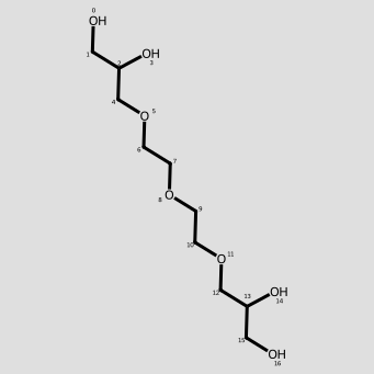 OCC(O)COCCOCCOCC(O)CO